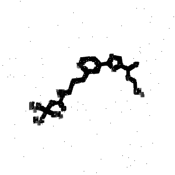 CCOC(=O)c1csc(-c2ccnc(CCCNC(=O)OC(C)(C)C)c2)n1